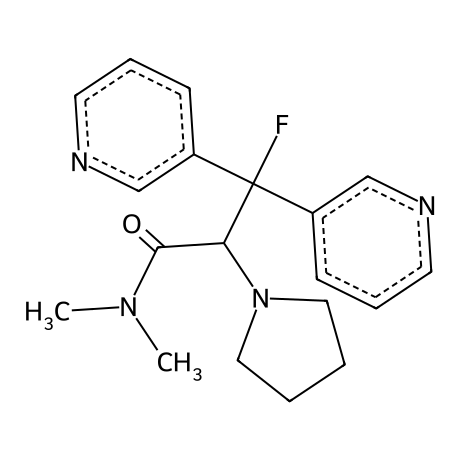 CN(C)C(=O)C(N1CCCC1)C(F)(c1cccnc1)c1cccnc1